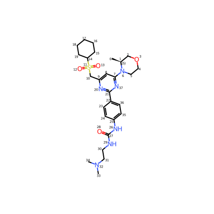 C[C@H]1COCCN1c1cc(CS(=O)(=O)C2CCCCC2)nc(-c2ccc(NC(=O)NCCN(C)C)cc2)n1